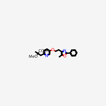 COC(C)(Cc1ccc(OCCc2nc(-c3ccccc3)oc2C)cn1)C(=O)O